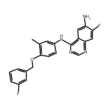 Cc1cc(Nc2ncnc3cc(F)c(N)cc23)ccc1OCc1cccc(F)c1